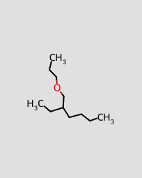 CCCCC(CC)COCCC